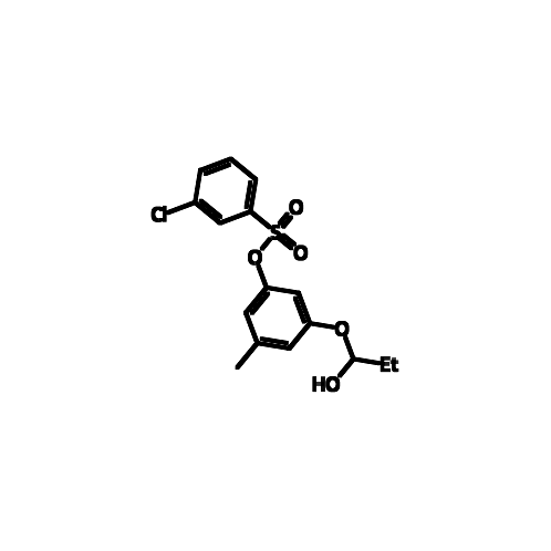 CCC(O)Oc1cc(C)cc(OS(=O)(=O)c2cccc(Cl)c2)c1